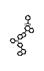 c1ccc(-c2nc3c(cc(-c4ccc5cc(N(c6ccccc6)c6ccc(-c7cccc8ccccc78)cc6)ccc5c4)c4ccccc43)o2)cc1